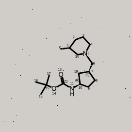 CC1CCCN(C[C@H]2CC[C@@H](NC(=O)OC(C)(C)C)C2)C1